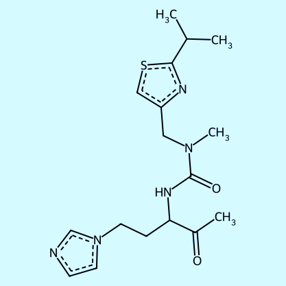 CC(=O)C(CCn1ccnc1)NC(=O)N(C)Cc1csc(C(C)C)n1